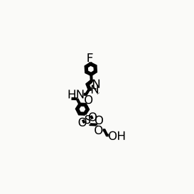 CC(NC(=O)c1cc(-c2ccc(F)cc2)nn1C)c1ccc(S(=O)(=O)CC(=O)OCCO)cc1